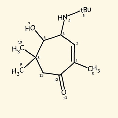 CC1=CC(NC(C)(C)C)C(O)C(C)(C)CC1=O